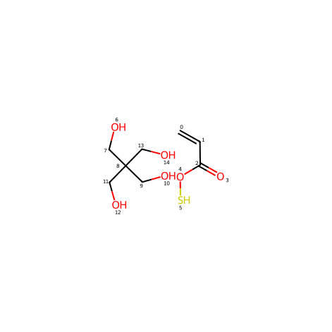 C=CC(=O)OS.OCC(CO)(CO)CO